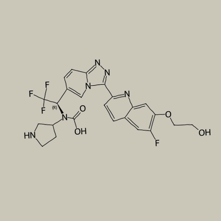 O=C(O)N(C1CCNC1)[C@H](c1ccc2nnc(-c3ccc4cc(F)c(OCCO)cc4n3)n2c1)C(F)(F)F